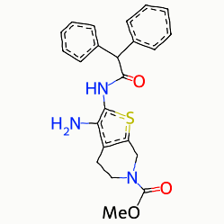 COC(=O)N1CCc2c(sc(NC(=O)C(c3ccccc3)c3ccccc3)c2N)C1